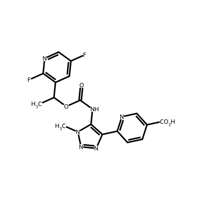 CC(OC(=O)Nc1c(-c2ccc(C(=O)O)cn2)nnn1C)c1cc(F)cnc1F